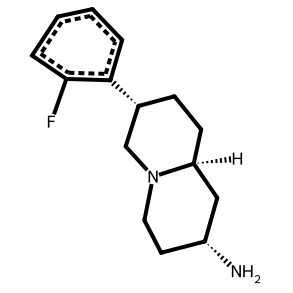 N[C@@H]1CCN2C[C@H](c3ccccc3F)CC[C@H]2C1